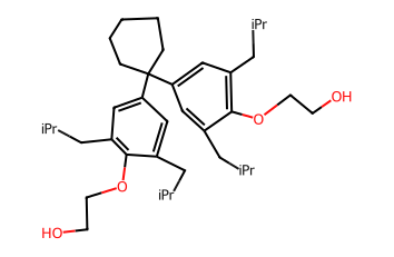 CC(C)Cc1cc(C2(c3cc(CC(C)C)c(OCCO)c(CC(C)C)c3)CCCCC2)cc(CC(C)C)c1OCCO